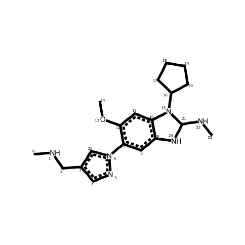 CNCc1cnn(-c2cc3c(cc2OC)N(C2CCCC2)C(NC)N3)c1